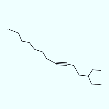 [CH2]CCCCCCC#CCCC(C[CH2])CC